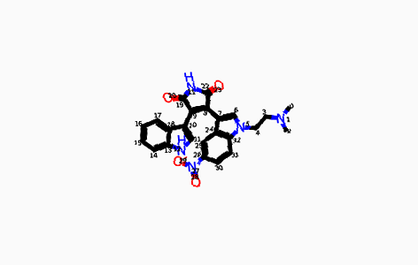 CN(C)CCn1cc(C2=C(c3c[nH]c4ccccc34)C(=O)NC2=O)c2cc([N+](=O)[O-])ccc21